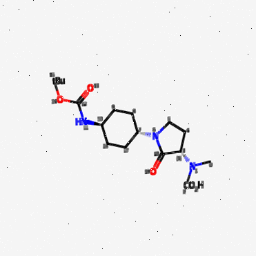 CN(C(=O)O)[C@H]1CCN([C@H]2CC[C@H](NC(=O)OC(C)(C)C)CC2)C1=O